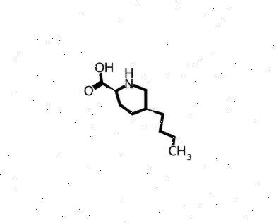 CCCC[C@H]1CC[C@@H](C(=O)O)NC1